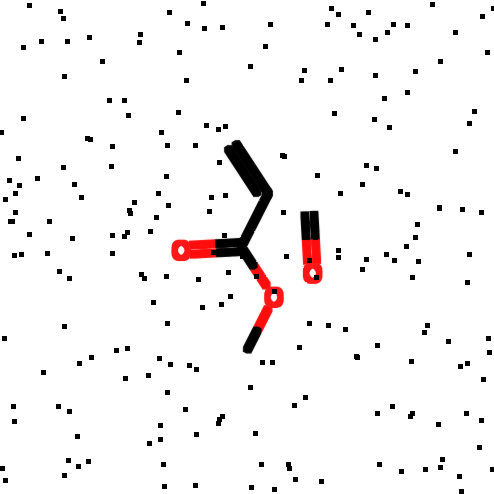 C=CC(=O)OC.C=O